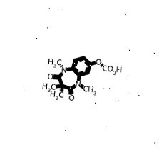 CN1C(=O)C(C)(C)C(=O)N(C)c2cc(OC(=O)O)ccc21